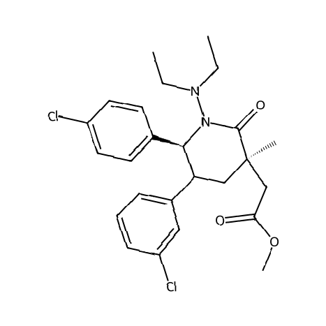 CCN(CC)N1C(=O)[C@@](C)(CC(=O)OC)CC(c2cccc(Cl)c2)[C@H]1c1ccc(Cl)cc1